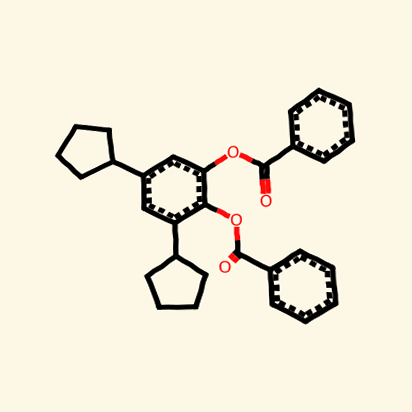 O=C(Oc1cc(C2CCCC2)cc(C2CCCC2)c1OC(=O)c1ccccc1)c1ccccc1